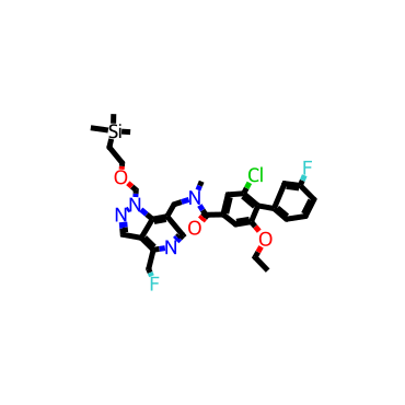 CCOc1cc(C(=O)N(C)Cc2cnc(CF)c3cnn(COCC[Si](C)(C)C)c23)cc(Cl)c1-c1cccc(F)c1